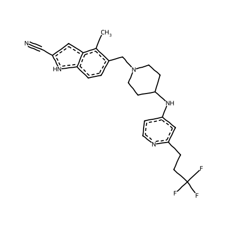 Cc1c(CN2CCC(Nc3ccnc(CCC(F)(F)F)c3)CC2)ccc2[nH]c(C#N)cc12